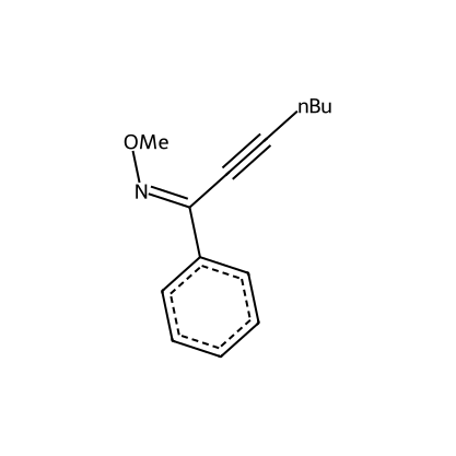 CCCCC#C/C(=N\OC)c1ccccc1